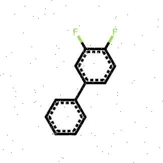 Fc1ccc(-c2cc[c]cc2)cc1F